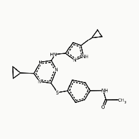 CC(=O)Nc1ccc(Sc2nc(Nc3cc(C4CC4)[nH]n3)nc(C3CC3)n2)cc1